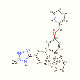 CCn1nnc(-c2ccc([C@]3(c4ccc(OCc5ccccn5)cc4)CC4CC[C@@H]3C4)cc2)n1